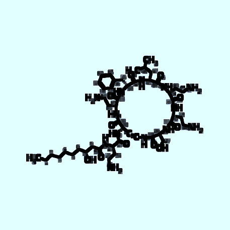 CCCCCCC[C@@H](O)CC(=O)N[C@H](CCN)C(=O)N[C@H]1CCNC(=O)[C@H](CO)NC(=O)[C@H](CCN)NC(=O)[C@H](CCN)NC(=O)[C@H](CC(C)C)NC(=O)[C@@H](Cc2ccccc2)NC(=O)[C@H](CCN)NC1=O